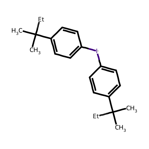 CCC(C)(C)c1ccc([I]c2ccc(C(C)(C)CC)cc2)cc1